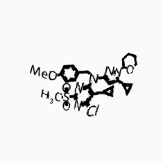 COc1ccc(CN(c2cc(C3CC3)n(C3CCCCO3)n2)c2nc(S(C)(=O)=O)nc(Cl)c2C2CC2)cc1